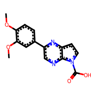 COc1ccc(-c2cnc3c(ccn3C(=O)O)n2)cc1OC